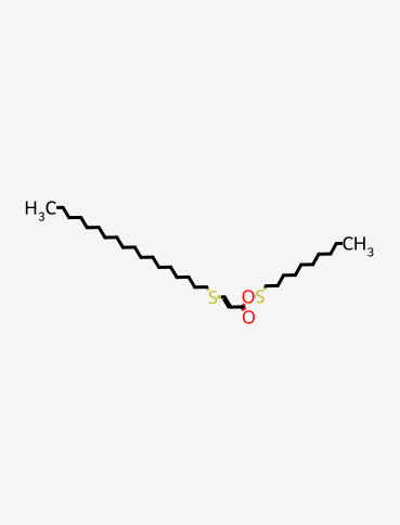 CCCCCCCCCCCCCCCCCCSC=CC(=O)OSCCCCCCCCCC